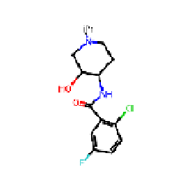 CC(C)N1CCC(NC(=O)c2cc(F)ccc2Cl)C(O)C1